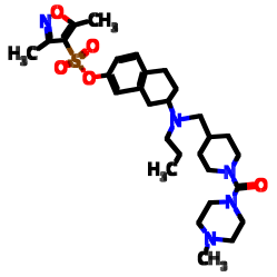 CCCN(CC1CCN(C(=O)N2CCN(C)CC2)CC1)C1CCc2ccc(OS(=O)(=O)c3c(C)noc3C)cc2C1